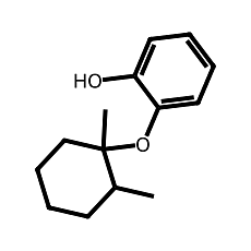 CC1CCCCC1(C)Oc1ccccc1O